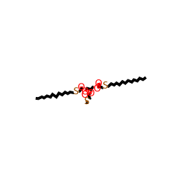 CCCCCCCCCCCCCCSCC(=O)OCC(COC(=O)CSCCCCCCCCCCCCCC)OC(=O)CSC